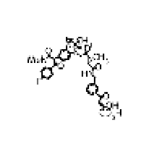 CNC(=O)c1c(-c2ccc(F)cc2)oc2cc(N(CC(=O)N(C)CC(=O)NCc3cccc(C(=O)C=C(O)C(=O)O)c3)S(C)(=O)=O)c(C3CC3)cc12